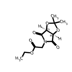 CCOC(=O)CN1C(=O)[C@H]2OC(C)(C)O[C@H]2C1=O